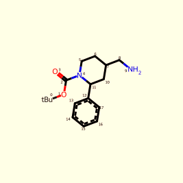 CC(C)(C)OC(=O)N1CCC(CN)CC1c1ccccc1